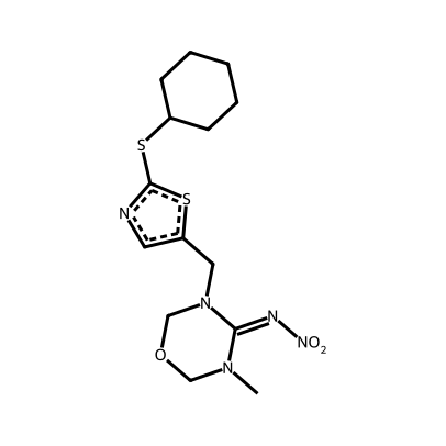 CN1COCN(Cc2cnc(SC3CCCCC3)s2)C1=N[N+](=O)[O-]